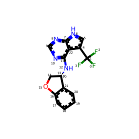 FC(F)(F)c1c[nH]c2ncnc(N[C@H]3COc4ccccc43)c12